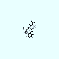 B/C(C(=C)C(C)(C)c1c(C)c(C)c(C)c(C)c1S)=C(C)/C(=C(/C)CC)C(C)(C)C